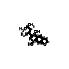 CN(C)CC(N)C1=NN(O)c2cc3c(cc2N1O)CCO3